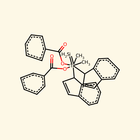 [CH3][Ti]([CH3])(=[SiH2])([O]C(=O)c1ccccc1)([O]C(=O)c1ccccc1)([CH]1C=Cc2ccccc21)[CH]1C=Cc2ccccc21